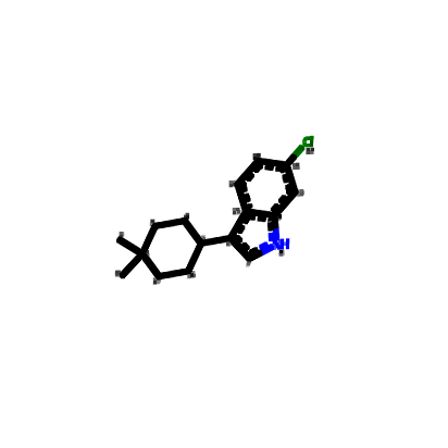 CC1(C)CCC(c2c[nH]c3cc(Cl)ccc23)CC1